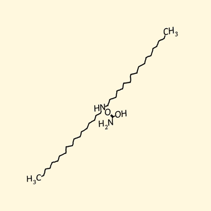 CCCCCCCCCCCCCCCCCCNCCCCCCCCCCCCCCCCCC.NC(=O)O